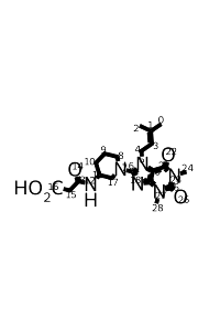 CC(C)=CCn1c(N2CCCC(NC(=O)CC(=O)O)C2)nc2c1c(=O)n(C)c(=O)n2C